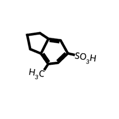 Cc1cc(S(=O)(=O)O)cc2c1CCC2